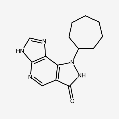 O=c1[nH]n(C2CCCCCC2)c2c1cnc1[nH]cnc12